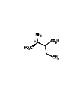 N[C@H](C(=O)O)C(CC(Cl)(Cl)Cl)C(=O)O